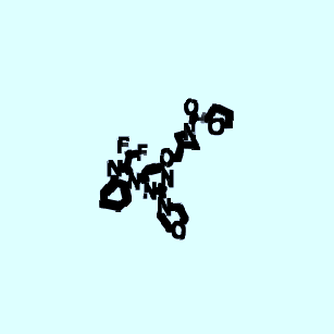 O=C([C@@H]1CCCO1)N1CC(COc2cc(-n3c(C(F)F)nc4ccccc43)nc(N3CCOCC3)n2)C1